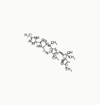 Cc1nnc(C(=O)N[C@H]2CSc3c(sc(C#CC(C)(O)c4cc(C)on4)c3C)N(C)C2=O)[nH]1